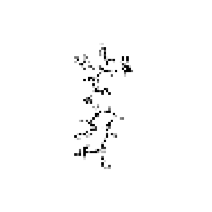 CCC(C)(NC(=O)Nc1ccc(OC(F)F)c(Cl)c1)C(=O)O